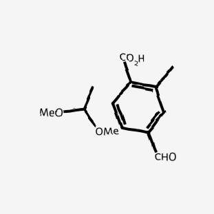 COC(C)OC.Cc1cc(C=O)ccc1C(=O)O